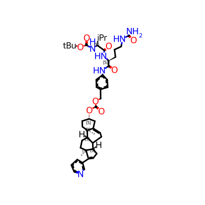 CC(C)[C@H](NC(=O)OC(C)(C)C)C(=O)N[C@@H](CCCNC(N)=O)C(=O)Nc1ccc(COC(=O)O[C@H]2CC[C@@]3(C)C(=CCC4[C@@H]3CC[C@]3(C)C(c5cccnc5)=CC[C@@H]43)C2)cc1